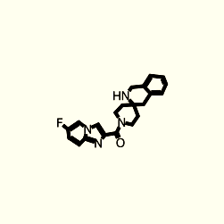 O=C(c1cn2cc(F)ccc2n1)N1CCC2(CC1)Cc1ccccc1CN2